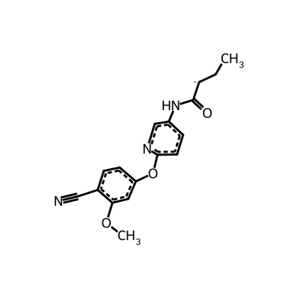 CC[CH]C(=O)Nc1ccc(Oc2ccc(C#N)c(OC)c2)nc1